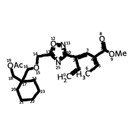 C=C/C(=C\C(=C/C)C(=O)OC)c1noc(COCC2(COC(C)=O)CCCCC2)n1